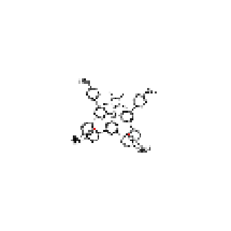 CC1=C(C)C(C)C([Si](c2cc(-c3ccc(C(C)(C)C)cc3)cc(-c3ccc(C(C)(C)C)cc3)c2)(c2cc(-c3ccc(C(C)(C)C)cc3)cc(-c3ccc(C(C)(C)C)cc3)c2)c2cc(-c3ccc(C(C)(C)C)cc3)cc(-c3ccc(C(C)(C)C)cc3)c2)=C1C